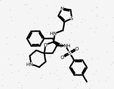 Cc1ccc(S(=O)(=O)NC(Cc2ccccc2)CC2(OC(=O)NCc3cncs3)CCNCC2)cc1